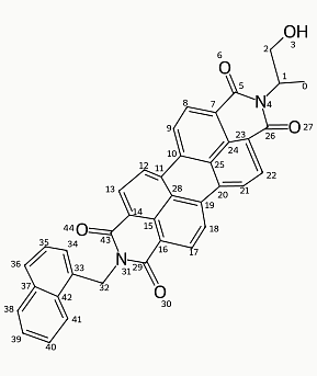 CC(CO)N1C(=O)c2ccc3c4ccc5c6c(ccc(c7ccc(c2c37)C1=O)c64)C(=O)N(Cc1cccc2ccccc12)C5=O